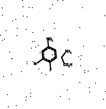 NCC(=O)O.O=[N+]([O-])c1ccc(F)c(Br)c1